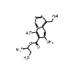 CCC(C)OC(=O)c1c(C)cc2c(CO)nncc2c1C